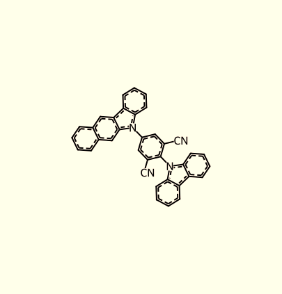 N#Cc1cc(-n2c3ccccc3c3cc4ccccc4cc32)cc(C#N)c1-n1c2ccccc2c2ccccc21